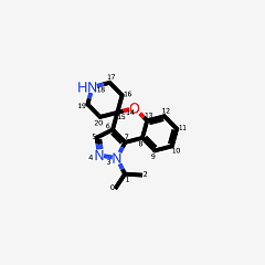 CC(C)n1ncc2c1-c1ccccc1OC21CCNCC1